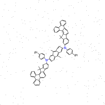 Cc1c2ccc(N(c3ccc(C(C)C)cc3)c3ccc4c(c3)C(C)(C)c3c-4ccc4c5ccccc5c5ccccc5c34)cc2c(C)c2ccc(N(c3ccc(C(C)C)cc3)c3ccc4c(c3)C(C)(C)c3c-4ccc4c5ccccc5c5ccccc5c34)cc12